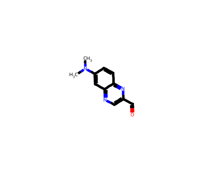 CN(C)c1ccc2nc(C=O)cnc2c1